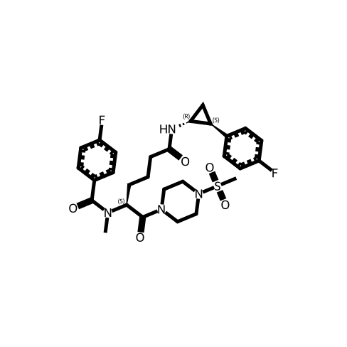 CN(C(=O)c1ccc(F)cc1)[C@@H](CCCC(=O)N[C@@H]1C[C@H]1c1ccc(F)cc1)C(=O)N1CCN(S(C)(=O)=O)CC1